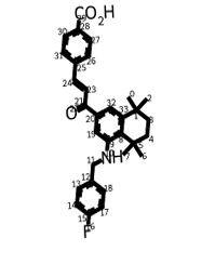 CC1(C)CCC(C)(C)c2c(NCc3ccc(F)cc3)cc(C(=O)/C=C/c3ccc(C(=O)O)cc3)cc21